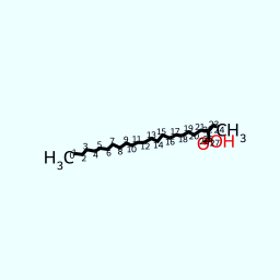 CCCCCCCCCCCCCCCCCCCCCCC(CC)C(=O)O